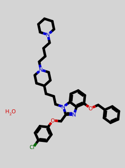 Clc1ccc(OCc2nc3c(OCc4ccccc4)cccc3n2CCCC2CCN(CCCCN3CCCCC3)CC2)cc1.O